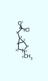 CN1CC2C(CC(=O)Cl)C2C1